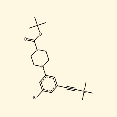 CC(C)(C)OC(=O)N1CCN(c2cc(Br)cc(C#C[Si](C)(C)C)c2)CC1